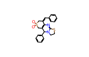 O=S1(=O)CC2=C(N=C3SCCN3C2c2ccccc2)/C(=C\c2ccccc2)C1